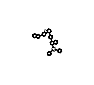 c1ccc(-c2nc(-c3ccccc3)nc(-c3ccc(-c4ccc(-c5cccc6oc7cc(-c8ccc9ccccc9c8)ccc7c56)cc4)c4ccccc34)n2)cc1